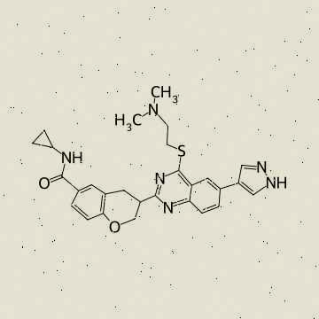 CN(C)CCSc1nc(C2COc3ccc(C(=O)NC4CC4)cc3C2)nc2ccc(-c3cn[nH]c3)cc12